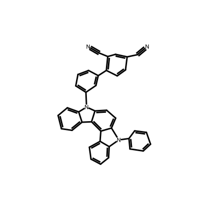 N#Cc1ccc(-c2cccc(-n3c4ccccc4c4c5c6ccccc6n(-c6ccccc6)c5ccc43)c2)c(C#N)c1